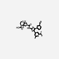 Cc1cc(-c2sc(NC(=O)N3C[C@@H]4OCCN(C(=O)O)[C@H]4C3)nc2-c2cccc(C#N)c2)cc(C(F)F)n1